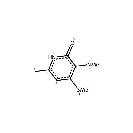 CNc1c(SC)cc(C)[nH]c1=O